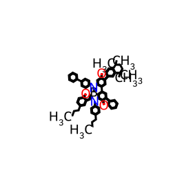 CCCCc1ccc(N2c3c(oc4ccc(CCCC)cc34)B3c4c(cc5c(oc6ccccc65)c42)-c2cc4c(cc2N3c2ccc(-c3ccccc3)cc2)oc2cc3c(cc24)C(C)(C)CCC3(C)C)cc1